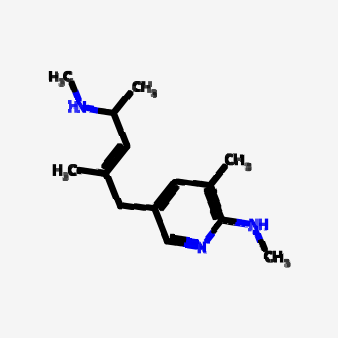 CNc1ncc(CC(C)=CC(C)NC)cc1C